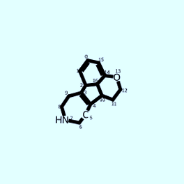 C1=CC2C3=C(CCNCC3)C3CCOC(=C1)C23